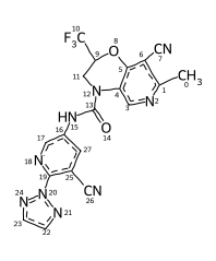 Cc1ncc2c(c1C#N)OC(C(F)(F)F)CN2C(=O)Nc1cnc(-n2nccn2)c(C#N)c1